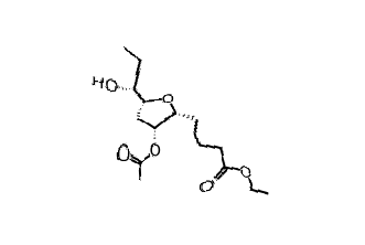 CCOC(=O)CCC[C@H]1O[C@@H]([C@H](O)CC)C[C@H]1OC(C)=O